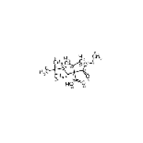 CCOC(=O)[C@](CSC(C)(C)C)(C(=O)O)C(C)C